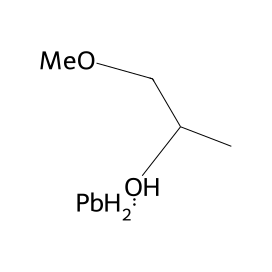 COCC(C)O.[PbH2]